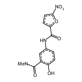 CNC(=O)c1cc(NC(=O)c2ccc([N+](=O)[O-])o2)ccc1O